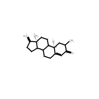 C=C1CCC2C3CCC4=CC(=O)C(C)C[C@@H]4C3CC[C@]12C